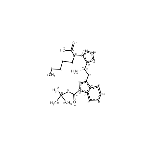 CCCCC[C@@H](C(=O)O)n1nnnc1[C@@H](N)Cc1cn(C(=O)OC(C)(C)C)c2ccccc12